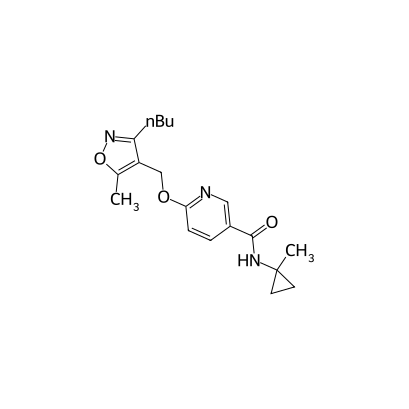 CCCCc1noc(C)c1COc1ccc(C(=O)NC2(C)CC2)cn1